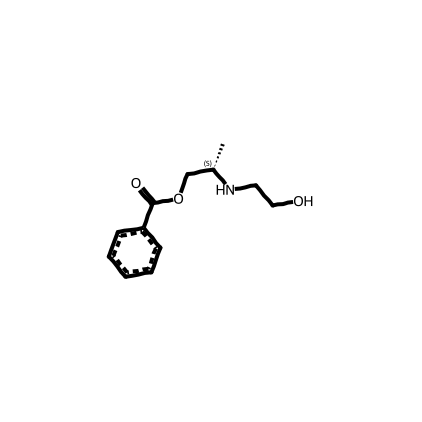 C[C@@H](COC(=O)c1ccccc1)NCCO